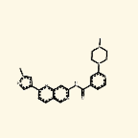 CN1CCN(c2cc(C(=O)Nc3cc4nc(-c5cnn(C)c5)ccc4cn3)ccn2)CC1